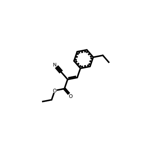 CCOC(=O)/C(C#N)=C/c1cccc(CC)c1